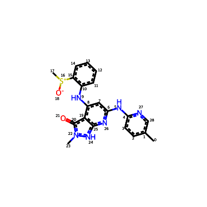 Cc1ccc(Nc2cc(Nc3ccccc3[S+](C)[O-])c3c(=O)n(C)[nH]c3n2)nc1